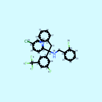 Fc1cc(C(F)(F)F)cc(C(Cc2ccccc2)(NCc2ccccc2F)c2ccc(Cl)cn2)c1